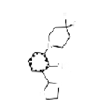 O=[N+]([O-])c1c(C2OCCO2)cccc1N1CCC(F)(F)CC1